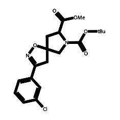 COC(=O)C1CC2(CC(c3cccc(Cl)c3)=NO2)CN1C(=O)OC(C)(C)C